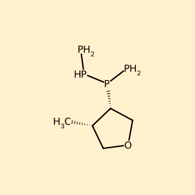 C[C@H]1COC[C@H]1P(P)PP